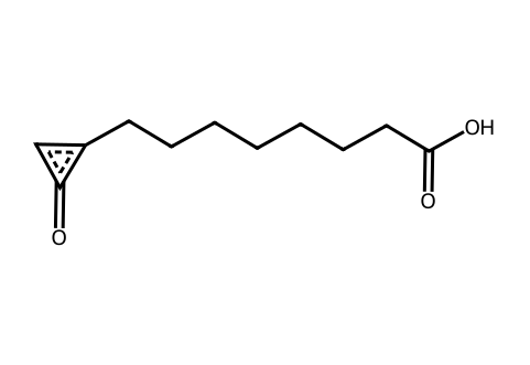 O=C(O)CCCCCCCc1cc1=O